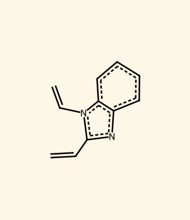 C=Cc1nc2ccccc2n1C=C